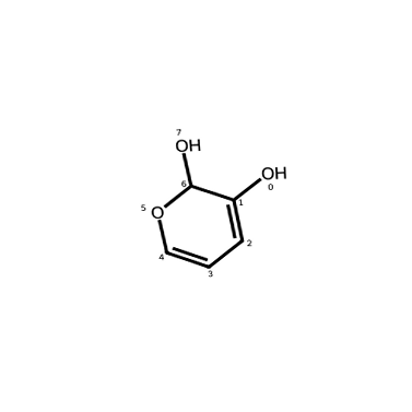 OC1=CC=COC1O